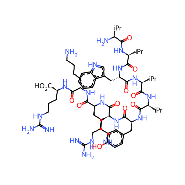 CC(C)[C@H](N)C(=O)N[C@H](C(=O)N[C@@H](Cc1c[nH]c2ccccc12)C(=O)N[C@H](C(=O)N[C@H](C(=O)N[C@@H](Cc1ccc(O)cc1)C(=O)N[C@@H](CCCNC(=N)N)C(=O)N[C@@H](CCCCN)C(=O)N[C@@H](CCCCN)C(=O)N[C@@H](CCCNC(=N)N)C(=O)O)C(C)C)C(C)C)C(C)C